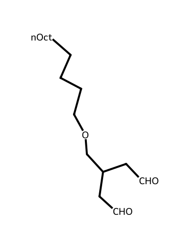 CCCCCCCCCCCCOCC(CC=O)CC=O